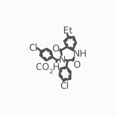 CCc1ccc2c(c1)C(=O)N(C(C(=O)O)c1ccc(Cl)cc1)C(c1ccc(Cl)cc1)C(=O)N2